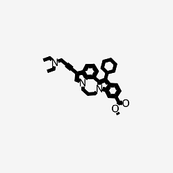 CCN(CC)CC#Cc1cn2c3c(cccc13)-c1c(C3CCCCC3)c3ccc(C(=O)OC)cc3n1CCC2